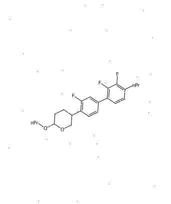 CCCOC1CCC(c2ccc(-c3ccc(CCC)c(F)c3F)cc2F)CO1